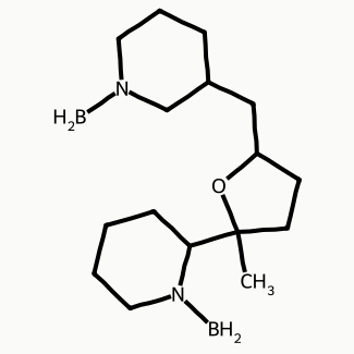 BN1CCCC(CC2CCC(C)(C3CCCCN3B)O2)C1